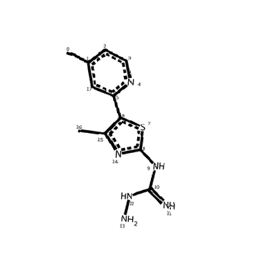 Cc1ccnc(-c2sc(NC(=N)NN)nc2C)c1